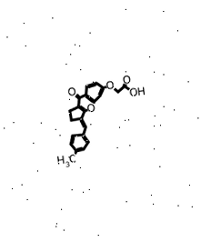 Cc1ccc(/C=C2\CCc3c2oc2cc(OCC(=O)O)ccc2c3=O)cc1